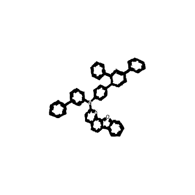 C1=CC(c2ccc(N(c3cccc(-c4ccccc4)c3)c3ccc4ccc5c6ccccc6oc5c4n3)cc2)C(c2ccccc2)C=C1c1ccccc1